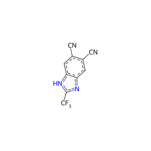 N#Cc1cc2nc(C(F)(F)F)[nH]c2cc1C#N